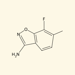 Cc1ccc2c(N)noc2c1F